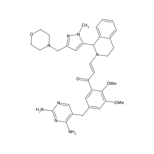 COc1cc(Cc2cnc(N)nc2N)cc(C(=O)/C=C/N2CCc3ccccc3C2c2cc(CN3CCOCC3)nn2C)c1OC